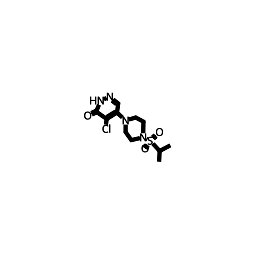 CC(C)S(=O)(=O)N1CCN(c2cn[nH]c(=O)c2Cl)CC1